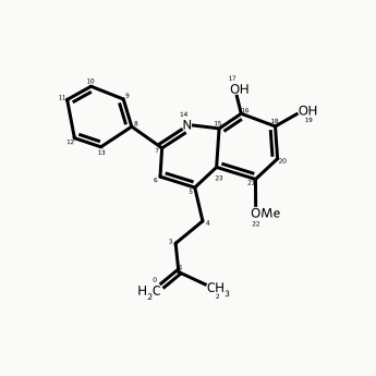 C=C(C)CCc1cc(-c2ccccc2)nc2c(O)c(O)cc(OC)c12